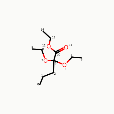 CCCC(OCC)(OCC)C(=O)OCC